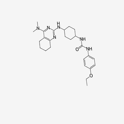 CCOc1ccc(NC(=O)NC2CCC(Nc3nc4c(c(N(C)C)n3)CCCC4)CC2)cc1